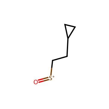 O=[S+]CCC1CC1